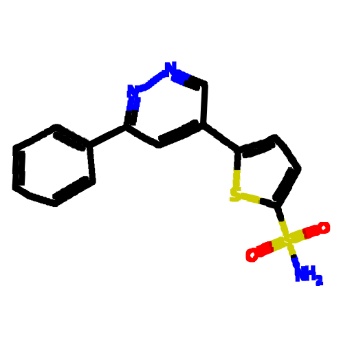 NS(=O)(=O)c1ccc(-c2cnnc(-c3ccccc3)c2)s1